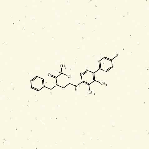 Cc1c(NCCN(Cc2ccccc2)C(=O)[C@@H](C)Cl)nnc(-c2ccc(F)cc2)c1C